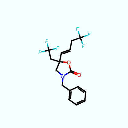 O=C1OC(C=CCC(F)(F)F)(CC(F)(F)F)CN1Cc1ccccc1